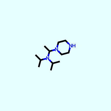 CC(C)N(C(C)C)C(C)N1CCNCC1